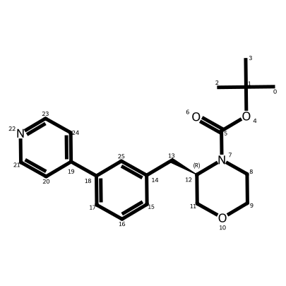 CC(C)(C)OC(=O)N1CCOC[C@H]1Cc1cccc(-c2ccncc2)c1